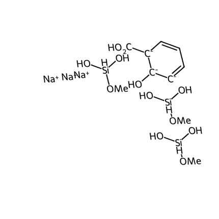 CO[SiH](O)O.CO[SiH](O)O.CO[SiH](O)O.O=C(O)[C-]1C=CC=[C-][C-]1O.[Na+].[Na+].[Na+]